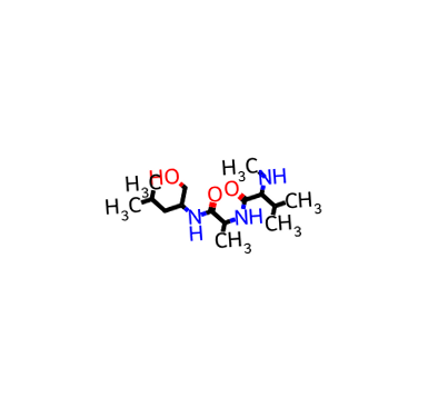 CNC(C(=O)NC(C)C(=O)NC(CO)CC(C)C)C(C)C